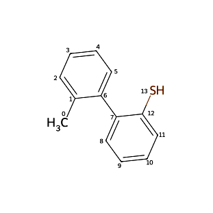 Cc1ccccc1-c1ccccc1S